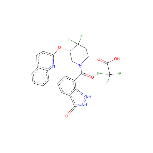 O=C(O)C(F)(F)F.O=C(c1cccc2c(=O)[nH][nH]c12)N1CCC(F)(F)[C@@H](Oc2ccc3ccccc3n2)C1